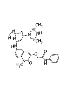 C[C@@H]1CN(c2cc(Nc3ccc4c(c3)cc(OCC(=O)Nc3ccccc3)c(=O)n4C)n3ncnc3n2)C[C@H](C)N1